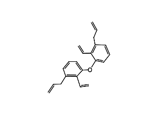 C=CCc1cccc(Oc2cccc(CC=C)c2C=C)c1C=C